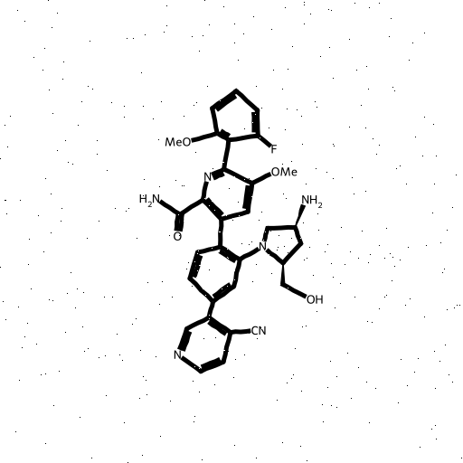 COc1cc(-c2ccc(-c3cnccc3C#N)cc2N2C[C@@H](N)C[C@H]2CO)c(C(N)=O)nc1-c1c(F)cccc1OC